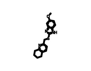 COc1ccc2[nH]c(SCc3ccc4c(n3)CCCC4)nc2c1